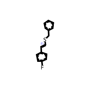 Fc1ccc(/C=C/SCc2ccccc2)cc1